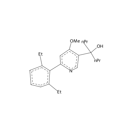 CCCC(O)(CCC)c1cnc(-c2c(CC)cccc2CC)cc1OC